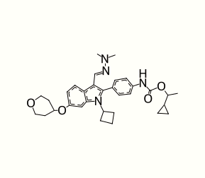 CC(OC(=O)Nc1ccc(-c2c(C=NN(C)C)c3ccc(OC4CCOCC4)cc3n2C2CCC2)cc1)C1CC1